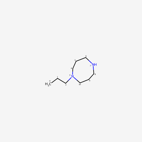 CCCN1CCCNCCC1